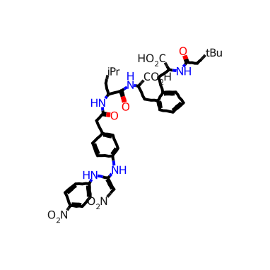 CC(C)CC(NC(=O)Cc1ccc(N/C(=C/[N+](=O)[O-])Nc2ccc([N+](=O)[O-])cc2)cc1)C(=O)NC(Cc1ccccc1CC(NC(=O)CC(C)(C)C)C(=O)O)C(=O)O